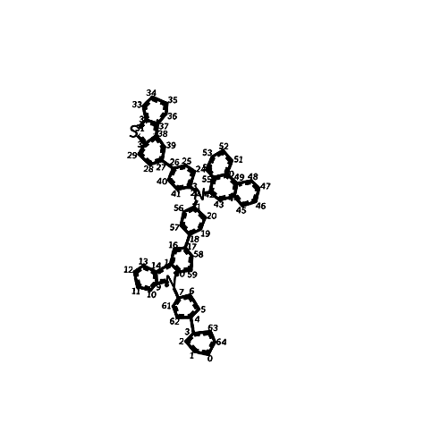 c1ccc(-c2ccc(-n3c4ccccc4c4cc(-c5ccc(N(c6ccc(-c7ccc8sc9ccccc9c8c7)cc6)c6cc7ccccc7c7ccccc67)cc5)ccc43)cc2)cc1